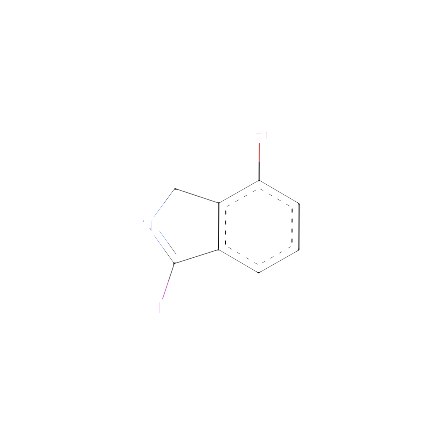 Brc1cccc2c1CN=C2I